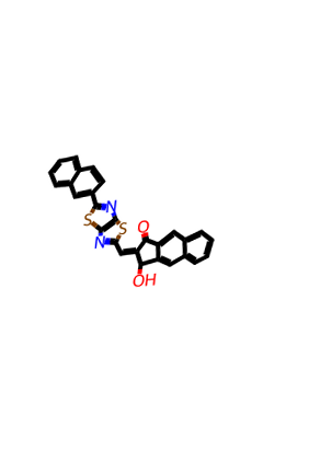 O=C1/C(=C\c2nc3sc(-c4ccc5ccccc5c4)nc3s2)C(O)c2cc3ccccc3cc21